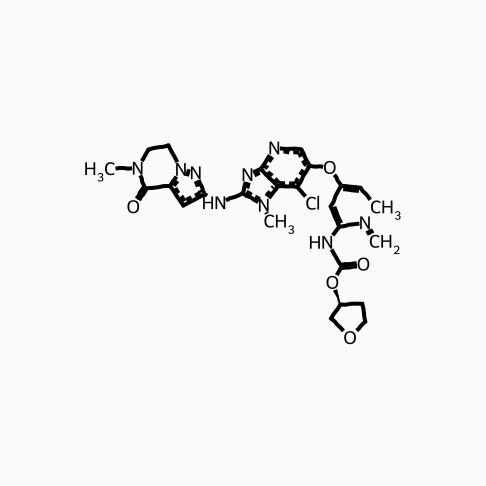 C=N/C(=C\C(=C/C)Oc1cnc2nc(Nc3cc4n(n3)CCN(C)C4=O)n(C)c2c1Cl)NC(=O)O[C@H]1CCOC1